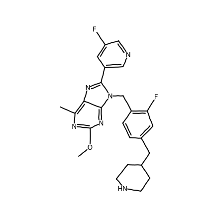 COc1nc(C)c2nc(-c3cncc(F)c3)n(Cc3ccc(CC4CCNCC4)cc3F)c2n1